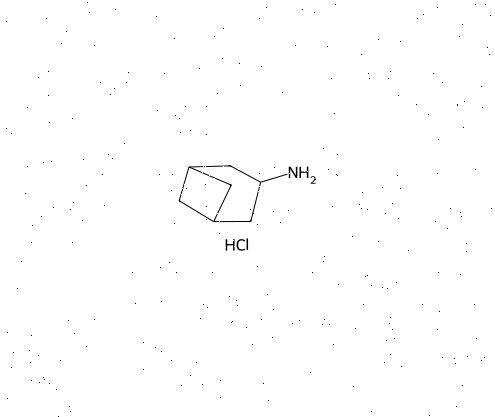 Cl.NC1CC2CC(C1)C2